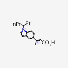 CCCC(CC)n1ccc2cc(/C(C)=C/C(=O)O)ccc21